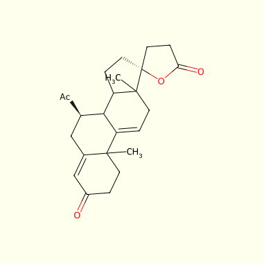 CC(=O)[C@@H]1CC2=CC(=O)CCC2(C)C2=CCC3(C)C(CC[C@@]34CCC(=O)O4)C21